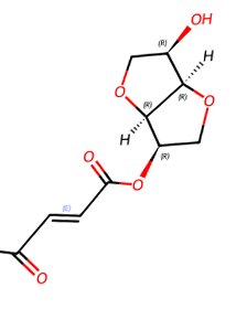 CC(=O)/C=C/C(=O)O[C@@H]1CO[C@H]2[C@@H]1OC[C@H]2O